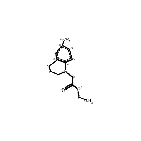 CCOC(=O)CN1CCCc2cc(N)ccc21